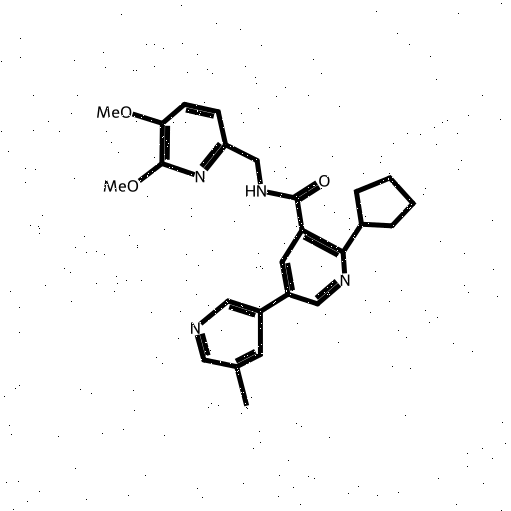 COc1ccc(CNC(=O)c2cc(-c3cncc(C)c3)cnc2C2CCCC2)nc1OC